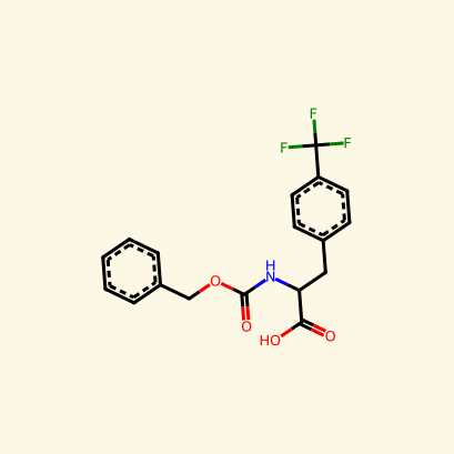 O=C(NC(Cc1ccc(C(F)(F)F)cc1)C(=O)O)OCc1ccccc1